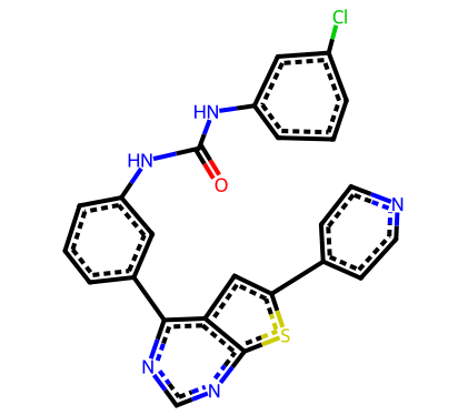 O=C(Nc1cccc(Cl)c1)Nc1cccc(-c2ncnc3sc(-c4ccncc4)cc23)c1